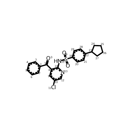 O=C(c1ccccc1)c1cc(Cl)cnc1NS(=O)(=O)c1ccc(C2CCCC2)cc1